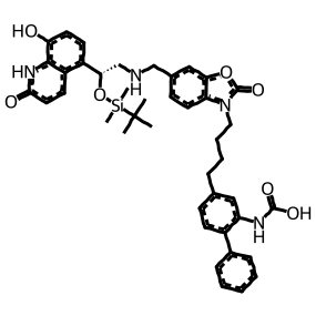 CC(C)(C)[Si](C)(C)O[C@@H](CNCc1ccc2c(c1)oc(=O)n2CCCCc1ccc(-c2ccccc2)c(NC(=O)O)c1)c1ccc(O)c2[nH]c(=O)ccc12